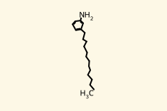 CCCCCCCCCCCCCCc1cccc(N)c1